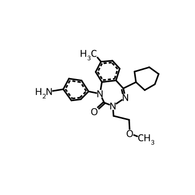 COCCN1N=C(C2CCCCC2)c2ccc(C)cc2N(c2ccc(N)cc2)C1=O